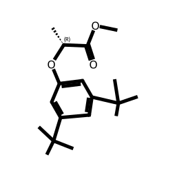 COC(=O)[C@@H](C)Oc1cc(C(C)(C)C)cc(C(C)(C)C)c1